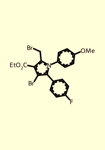 CCOC(=O)c1c(Br)c(-c2ccc(F)cc2)n(-c2ccc(OC)cc2)c1CBr